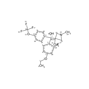 CCOc1ccc([C@@](O)(c2ccc(OC(F)(F)F)cc2)C2(C)CN(C)C2)c(F)c1